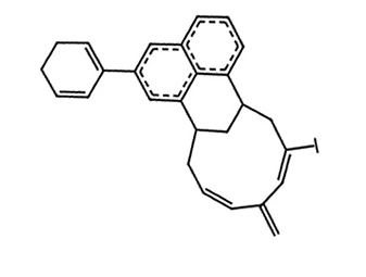 C=C1/C=C\CC2CC(C/C(I)=C\1)c1cccc3cc(C4=CCCC=C4)cc2c13